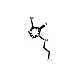 Nc1nsn(NCCO)c1=O